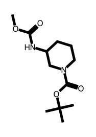 COC(=O)NC1CCCN(C(=O)OC(C)(C)C)C1